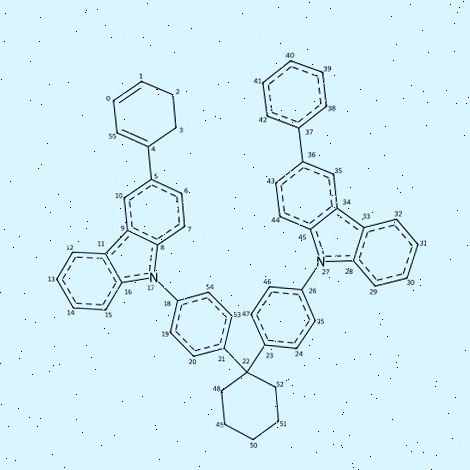 C1=CCCC(c2ccc3c(c2)c2ccccc2n3-c2ccc(C3(c4ccc(-n5c6ccccc6c6cc(-c7ccccc7)ccc65)cc4)CCCCC3)cc2)=C1